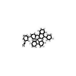 N#Cc1cncc(-c2ccc3c(c2)C(c2ccccc2)(c2ccccc2)c2cc(-c4ccccc4)c4ccccc4c2-3)c1